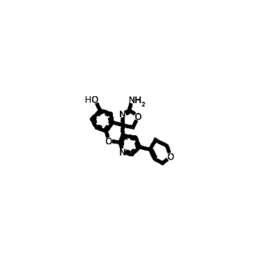 NC1=NC2(CO1)c1cc(O)ccc1Oc1ncc(C3=CCOCC3)cc12